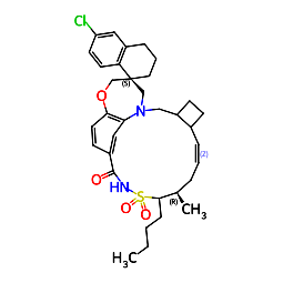 CCCCC1[C@H](C)C/C=C\C2CCC2CN2C[C@@]3(CCCc4cc(Cl)ccc43)COc3ccc(cc32)C(=O)NS1(=O)=O